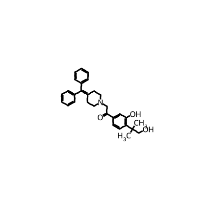 CC(C)(CO)c1ccc(C(=O)CN2CCC(=C(c3ccccc3)c3ccccc3)CC2)cc1O